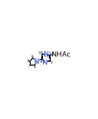 CC(=O)Nc1cnc(N2CCCC2)cn1